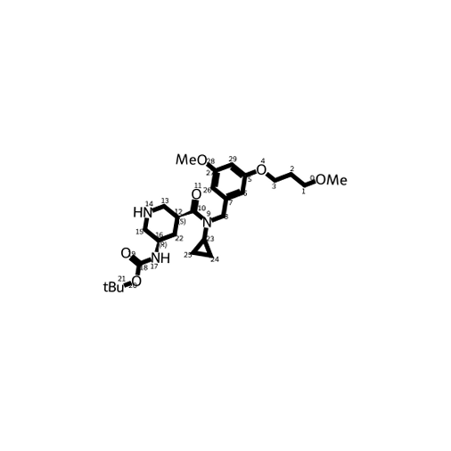 COCCCOc1cc(CN(C(=O)[C@@H]2CNC[C@H](NC(=O)OC(C)(C)C)C2)C2CC2)cc(OC)c1